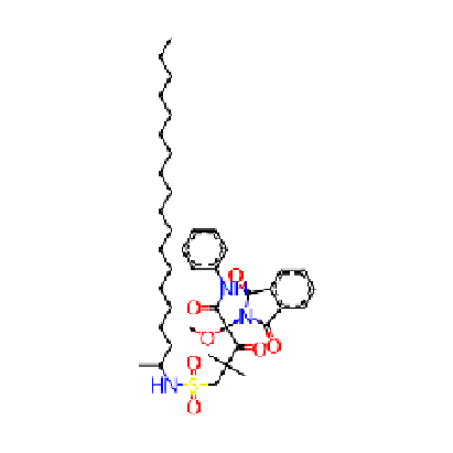 CCCCCCCCCCCCCCCCCC(C)NS(=O)(=O)CC(C)(C)C(=O)C(OC)(C(=O)Nc1ccccc1)N1C(=O)c2ccccc2C1=O